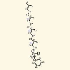 CC(C)=CCC/C(C)=C/CC/C(C)=C/CC/C(C)=C/COC(=O)Nc1ccccc1